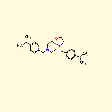 CC(C)c1ccc(CN2CCC3(CC2)OCCN3Cc2ccc(C(C)C)cc2)cc1